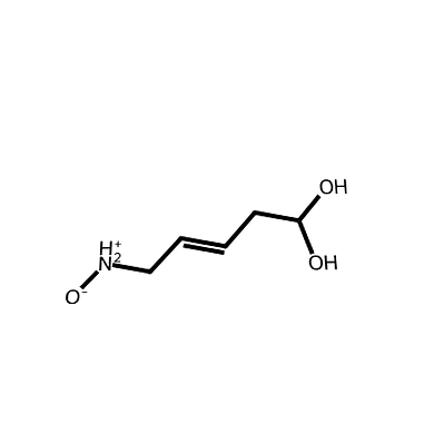 [O-][NH2+]CC=CCC(O)O